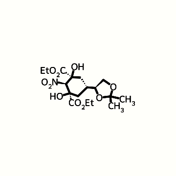 CCOC(=O)[C@]1(O)C[C@H]([C@H]2COC(C)(C)O2)C[C@](O)(C(=O)OCC)[C@H]1[N+](=O)[O-]